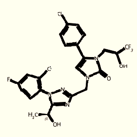 C[C@H](O)c1nc(Cn2cc(-c3ccc(Cl)cc3)n(CC(O)C(F)(F)F)c2=O)nn1-c1ccc(F)cc1Cl